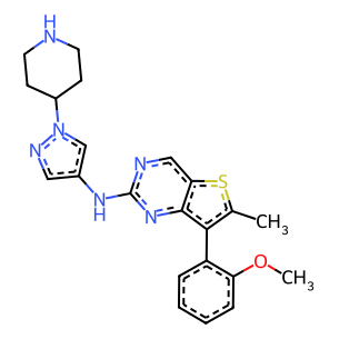 COc1ccccc1-c1c(C)sc2cnc(Nc3cnn(C4CCNCC4)c3)nc12